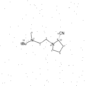 CN(CCN1CCC[C@H]1C#N)C(C)(C)C